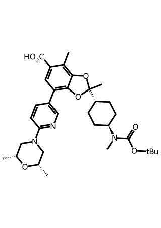 Cc1c(C(=O)O)cc(-c2ccc(N3C[C@@H](C)O[C@@H](C)C3)nc2)c2c1OC(C)([C@H]1CC[C@H](N(C)C(=O)OC(C)(C)C)CC1)O2